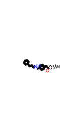 COC(=O)Cc1ccc(CNCCCc2ccccc2)cc1